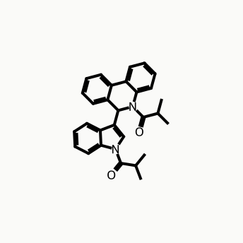 CC(C)C(=O)N1c2ccccc2-c2ccccc2C1c1cn(C(=O)C(C)C)c2ccccc12